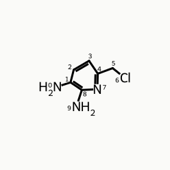 Nc1ccc(CCl)nc1N